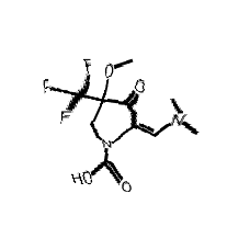 COC1(C(F)(F)F)CN(C(=O)O)/C(=C/N(C)C)C1=O